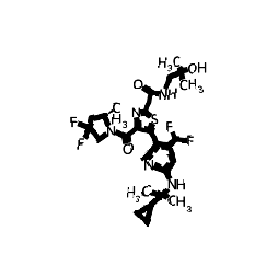 C[C@H]1CC(F)(F)CN1C(=O)c1nc(C(=O)NCC(C)(C)O)sc1-c1cnc(NC(C)(C)C2CC2)cc1C(F)F